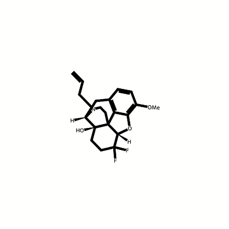 C=CCN1CCC23c4c5ccc(OC)c4O[C@@H]2C(F)(F)CC[C@]3(O)[C@@H]1C5